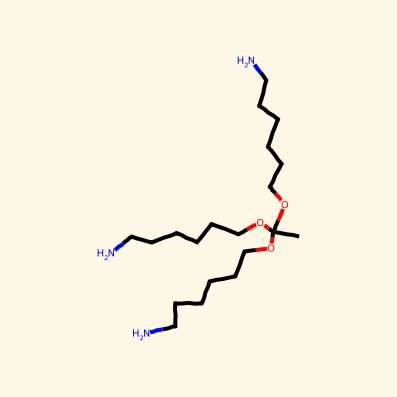 CC(OCCCCCCN)(OCCCCCCN)OCCCCCCN